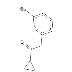 CC(C)(C)c1cccc(CC(=O)C2CC2)c1